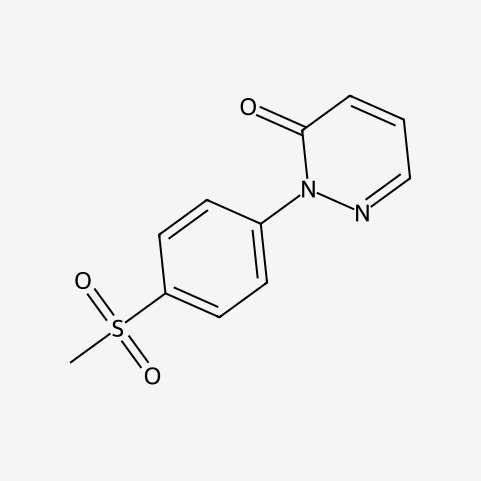 CS(=O)(=O)c1ccc(-n2ncccc2=O)cc1